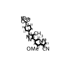 COc1cc(-c2nnn(C3CCN(C(=O)OC(C)(C)C)CC3)c2C)cn2ncc(C#N)c12